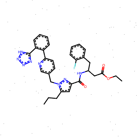 CCCc1cc(C(=O)NC(CC(=O)OCC)Cc2ccccc2F)nn1Cc1ccc(-c2ccccc2-c2nnn[nH]2)nc1